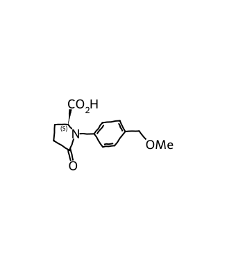 COCc1ccc(N2C(=O)CC[C@H]2C(=O)O)cc1